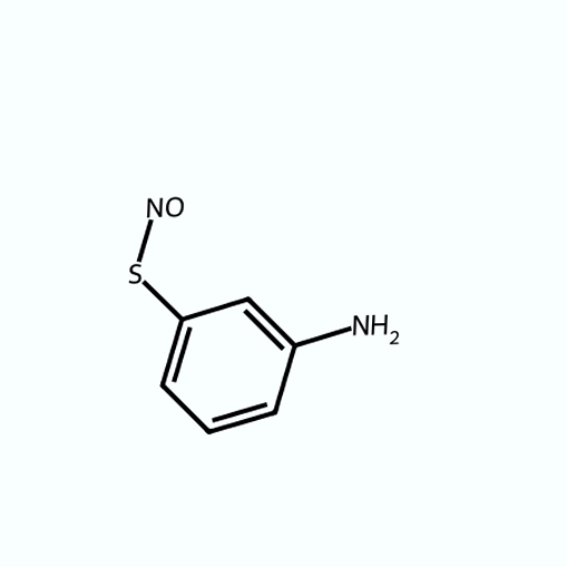 Nc1cccc(SN=O)c1